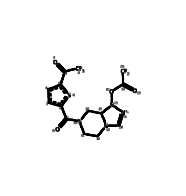 O=C(c1ccc(C(=O)C(F)(F)F)s1)N1CCN2C=[N+]N(OC(=O)C(F)(F)F)C2C1